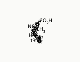 Cn1c(-c2ccc(CCC(=O)O)cc2)c(C#N)c2ccc(S(=O)(=O)NC3CCC(C(=O)N4CCC[C@@H]4C(C)(C)C)CC3)cc21